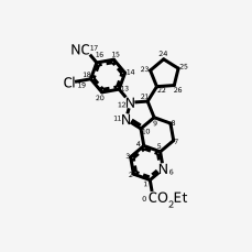 CCOC(=O)c1ccc2c(n1)CCC1C2=NN(c2ccc(C#N)c(Cl)c2)C1C1CCCC1